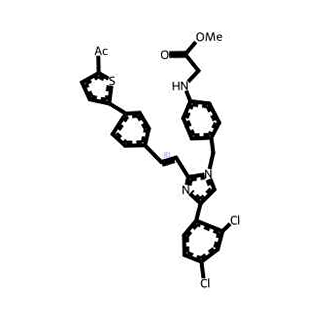 COC(=O)CNc1ccc(Cn2cc(-c3ccc(Cl)cc3Cl)nc2/C=C/c2ccc(-c3ccc(C(C)=O)s3)cc2)cc1